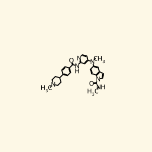 CNC(=O)n1ccc2cc(N(C)c3ccnc(NC(=O)c4ccc(C5CCN(C)CC5)cc4)c3)ccc21